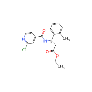 CCOC(=O)C[C@H](NC(=O)c1ccnc(Cl)c1)c1ccccc1C